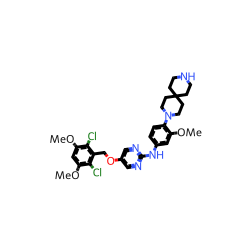 COc1cc(Nc2ncc(OCc3c(Cl)c(OC)cc(OC)c3Cl)cn2)ccc1N1CCC2(CCNCC2)CC1